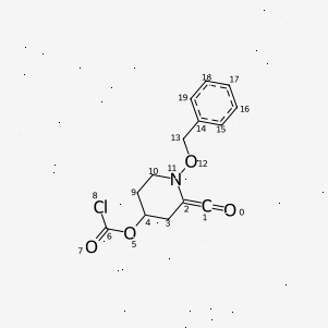 O=C=C1CC(OC(=O)Cl)CCN1OCc1ccccc1